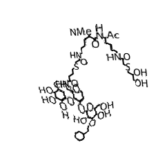 CNC(CCCCNC(=O)CSCCCC(=O)NCC1OCCC(OC2OC(CO)C(O)C(OCCC3CCCCC3)C2O)C1OC1CC(C)C(O)C(O)C1O)C(=O)NC(CCCCNC(=O)CSCC(O)CO)C(C)=O